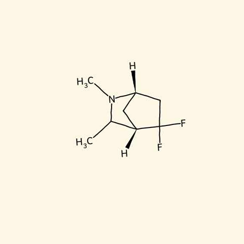 CC1[C@@H]2C[C@@H](CC2(F)F)N1C